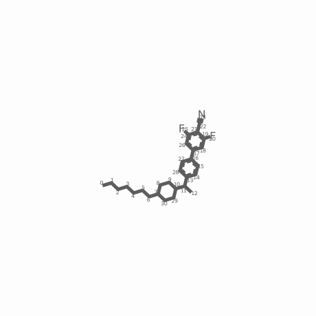 CCCCCCCC1CCC(C(C)c2ccc(-c3cc(F)c(C#N)c(F)c3)cc2)CC1